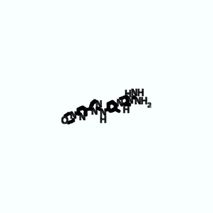 Cc1cc(Nc2nccc(-c3ccc(N4CCOCC4)nc3)n2)ccc1N1C[C@@H]2C[C@H]1CN2C(=N)N